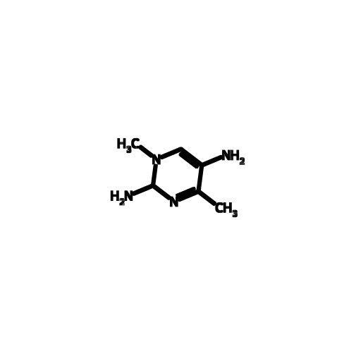 CC1=NC(N)N(C)C=C1N